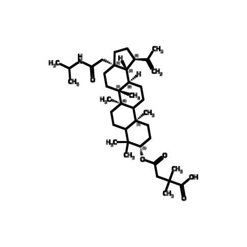 C=C(C)[C@@H]1CC[C@]2(CC(=O)NC(C)C)CC[C@]3(C)[C@H](CCC4[C@@]5(C)CC[C@H](OC(=O)CC(C)(C)C(=O)O)C(C)(C)C5CC[C@]43C)[C@@H]12